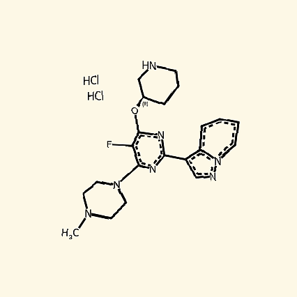 CN1CCN(c2nc(-c3cnn4ccccc34)nc(O[C@@H]3CCCNC3)c2F)CC1.Cl.Cl